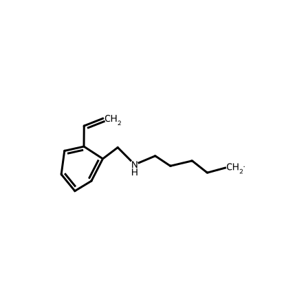 [CH2]CCCCNCc1ccccc1C=C